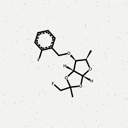 C[C@H]1O[C@@H]2OC(C)(CF)O[C@@H]2[C@H]1OCc1ccccc1F